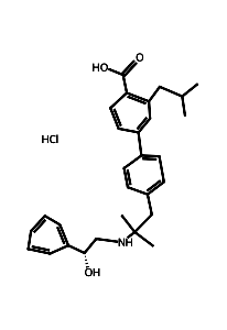 CC(C)Cc1cc(-c2ccc(CC(C)(C)NC[C@H](O)c3ccccc3)cc2)ccc1C(=O)O.Cl